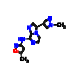 Cc1cc(Nc2nccn3c(-c4cnn(C)c4)cnc23)no1